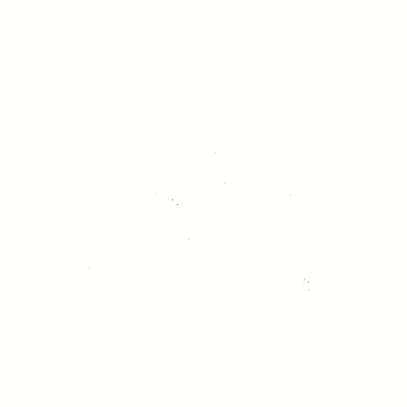 CCCCCCCCCCCCCC=CC(O)(CC)C(COC(=O)CCN)NCC